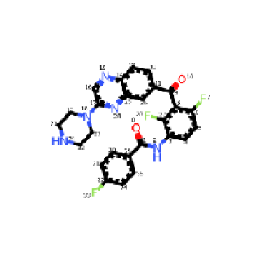 O=C(Nc1ccc(F)c(C(=O)c2ccc3ncc(N4CCNCC4)nc3c2)c1F)c1ccc(F)cc1